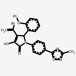 C=C(C1=C(O)C(=O)N(c2ccc(-c3nc(C)no3)cc2)C1c1ccccc1OC(C)C)C(C)C